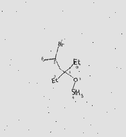 CCC(CC)(O[SiH3])C(C)Br